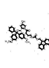 COc1ccc(C(OC[C@@H]2C[C@@H](O)CN2C(=O)CCCNC(=O)OCC2c3ccccc3-c3ccccc32)(c2ccccc2)c2ccc(OC)cc2)cc1